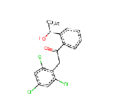 CCOC(=O)C(O)c1ccccc1C(=O)Cc1c(Cl)cc(Cl)cc1Cl